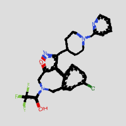 OC(N1Cc2cc(Cl)ccc2-c2c(C3CCN(c4ccccn4)CC3)noc2C1)C(F)(F)F